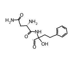 NC(=O)C[C@H](N)C(=O)NC(O)([C]=O)CCc1ccccc1